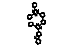 c1ccc(-c2cc(-c3ccc4c(c3)sc3ccccc34)nc(-c3cccc(-c4cccc(-c5nc(-c6ccccc6)nc(-c6ccccc6)n5)c4)c3)n2)cc1